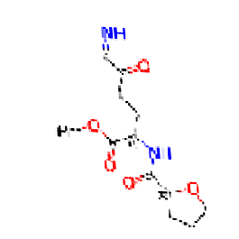 CC(C)OC(=O)[C@H](CCC(=O)C=N)NC(=O)[C@H]1CCCO1